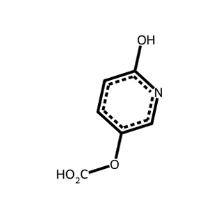 O=C(O)Oc1ccc(O)nc1